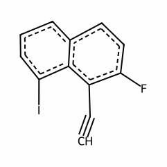 C#Cc1c(F)ccc2cccc(I)c12